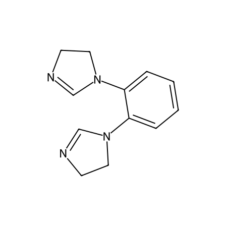 C1=NCCN1c1ccccc1N1C=NCC1